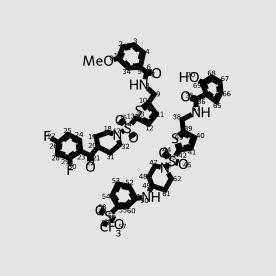 COc1cccc(C(=O)NCc2ccc(S(=O)(=O)N3CCC(C(=O)c4ccc(F)cc4F)CC3)s2)c1.O=C(NCc1ccc(S(=O)(=O)N2CCC(Nc3cccc(S(=O)(=O)C(F)(F)F)c3)CC2)s1)c1ccccc1O